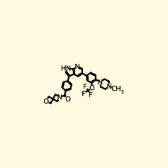 CN1CCN(c2ccc(-c3cnc4[nH]cc(-c5ccc(C(=O)N6CC7(COC7)C6)cc5)c4c3)cc2OC(F)(F)F)CC1